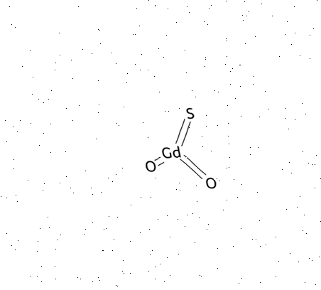 [O]=[Gd](=[O])=[S]